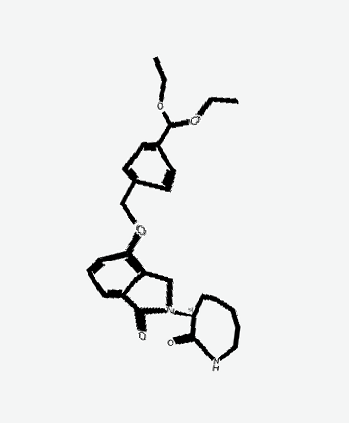 CCOC(OCC)c1ccc(COc2cccc3c2CN([C@H]2CCCCNC2=O)C3=O)cc1